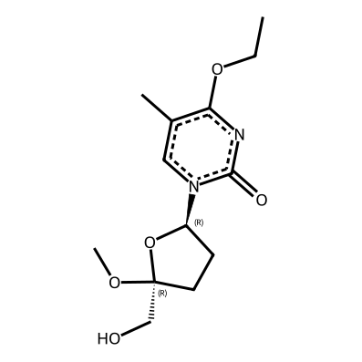 CCOc1nc(=O)n([C@H]2CC[C@@](CO)(OC)O2)cc1C